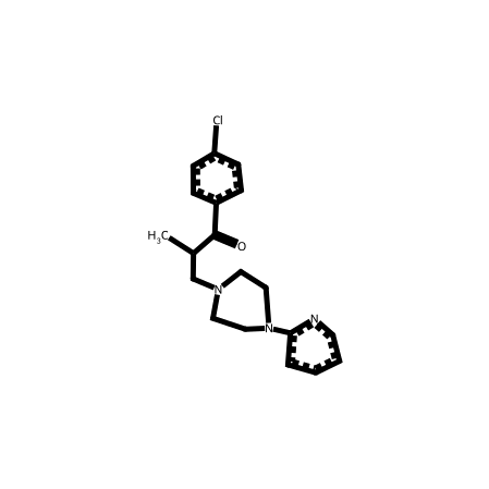 CC(CN1CCN(c2ccccn2)CC1)C(=O)c1ccc(Cl)cc1